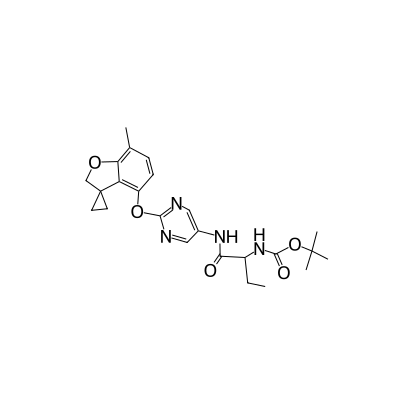 CCC(NC(=O)OC(C)(C)C)C(=O)Nc1cnc(Oc2ccc(C)c3c2C2(CC2)CO3)nc1